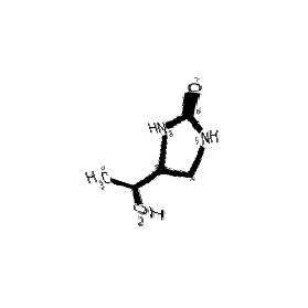 CC(O)C1CNC(=O)N1